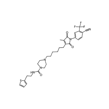 CC1=C(CCCCCCN2CCN(C(=O)NCCc3cccs3)CC2)C(=O)N(c2ccc(C#N)c(C(F)(F)F)c2)C1=O